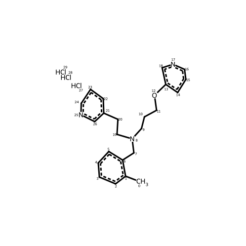 Cc1ccccc1CN(CCCOc1cccnc1)CCc1cccnc1.Cl.Cl.Cl